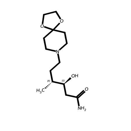 C[C@H](CCN1CCC2(CC1)OCCO2)[C@@H](O)CC(N)=O